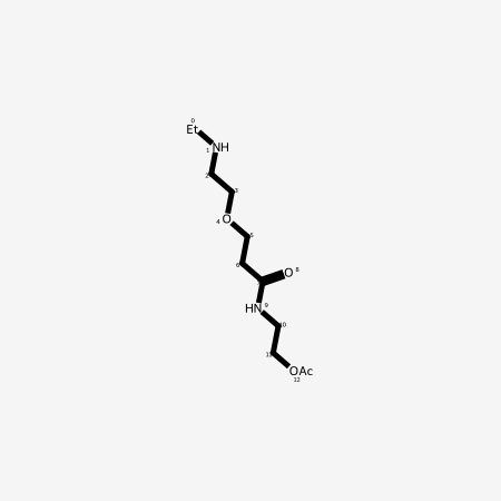 CCNCCOCCC(=O)NCCOC(C)=O